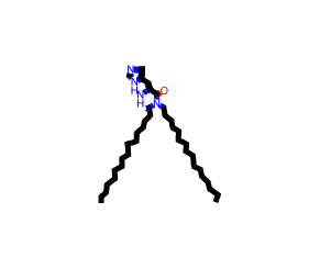 CCCCCCCCCCCCCCCCN(CCCCCCCCCCCCCCCC)C(=O)C(N)=Cc1cnc[nH]1